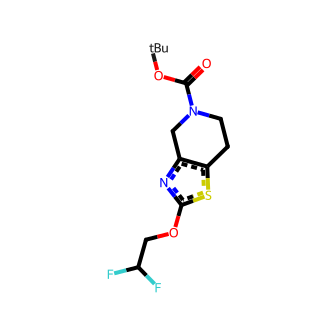 CC(C)(C)OC(=O)N1CCc2sc(OCC(F)F)nc2C1